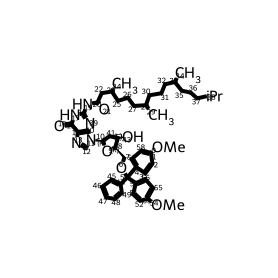 COc1ccc(C(OC[C@H]2O[C@@H](n3cnc4c(=O)[nH]c(NC(=O)CC(C)CCCC(C)CCCC(C)CCCC(C)C)nc43)C[C@@H]2O)(c2ccccc2)c2ccc(OC)cc2)cc1